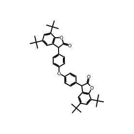 CC(C)(C)c1cc2c(c(C(C)(C)C)c1)OC(=O)C2c1ccc(Oc2ccc(C3C(=O)Oc4c3cc(C(C)(C)C)cc4C(C)(C)C)cc2)cc1